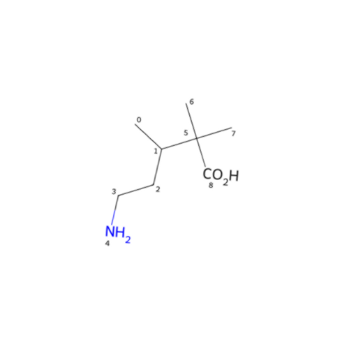 CC(CCN)C(C)(C)C(=O)O